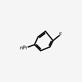 [CH2]CCc1ccc(F)cc1